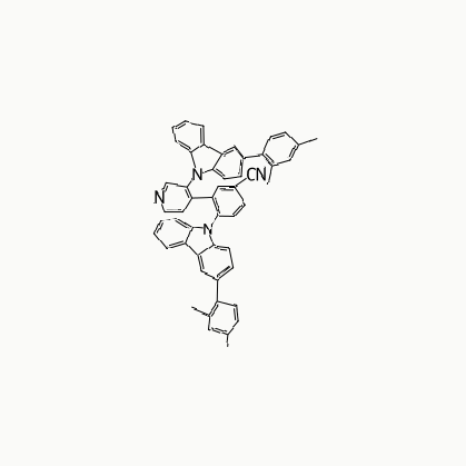 Cc1ccc(-c2ccc3c(c2)c2ccccc2n3-c2ccc(C#N)cc2-c2ccncc2-n2c3ccccc3c3cc(-c4ccc(C)cc4C)ccc32)c(C)c1